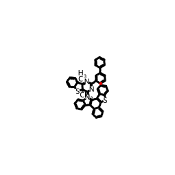 CC12C=CC=CC1SC1(C)C2=NC(c2cccc(-c3ccccc3)c2)=NC1n1c2ccccc2c2c3ccccc3c3sc4ccccc4c3c21